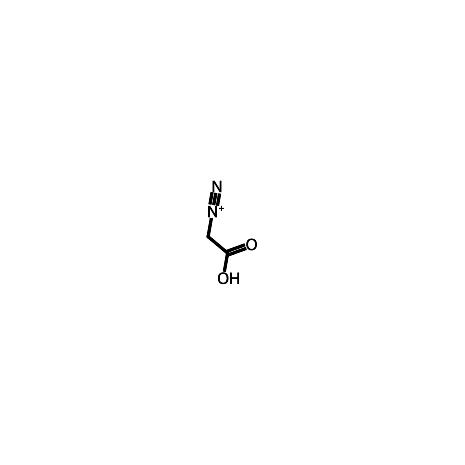 N#[N+]CC(=O)O